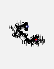 CNC(C(=O)N[C@H](C(=O)N(C)[C@H](/C=C(\C)C(=O)O)C(C)C)C(C)(C)C)C(C)(C)c1cccc(CNC(=O)OCc2ccc(NC(=O)[C@H](CCCNC(N)=O)NC(=O)[C@@H](NC(=O)CCC(=O)N3Cc4ccccc4/C=C\c4ccccc43)C(C)C)cc2)c1